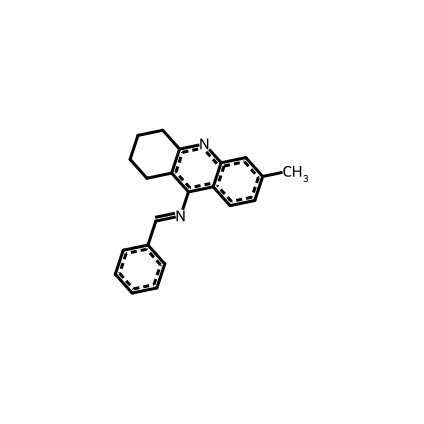 Cc1ccc2c(/N=C/c3ccccc3)c3c(nc2c1)CCCC3